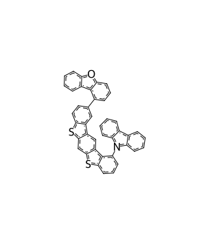 c1ccc2c(c1)oc1cccc(-c3ccc4sc5cc6sc7cccc(-n8c9ccccc9c9ccccc98)c7c6cc5c4c3)c12